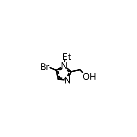 CCn1c(Br)cnc1CO